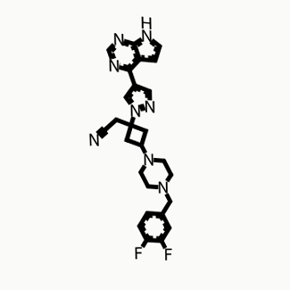 N#CCC1(n2cc(-c3ncnc4[nH]ccc34)cn2)CC(N2CCN(Cc3ccc(F)c(F)c3)CC2)C1